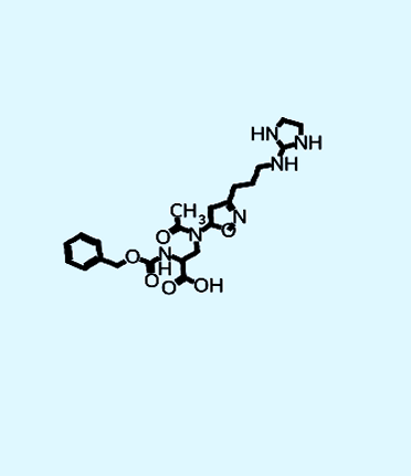 CC(=O)N(CC(NC(=O)OCc1ccccc1)C(=O)O)C1CC(CCCNC2NCCN2)=NO1